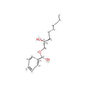 CCCCCC[C@H](O)COC(O)c1ccccc1